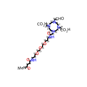 CNC(=O)CCC(=O)NCCCOCCOCCOCCCNC(=O)CN1CCN(CC(=O)O)CCN(CC=O)CCN(CC(=O)O)CC1